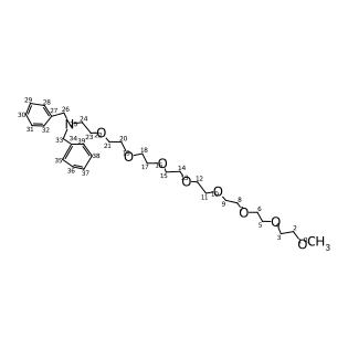 COCCOCCOCCOCCOCCOCCOCCOCCN(Cc1ccccc1)Cc1ccccc1